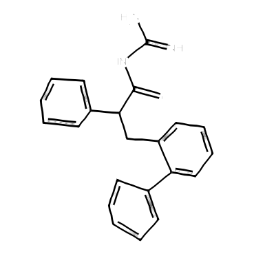 N=C(N)NC(=O)C(Cc1ccccc1-c1ccccc1)c1ccccc1